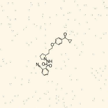 N#Cc1ccccc1S(=O)(=O)NN1CCCC1CCCOc1ccc(C(=O)C2CC2)cc1